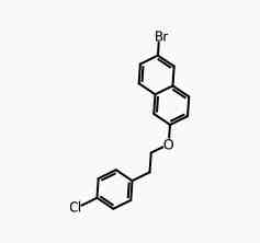 Clc1ccc(CCOc2ccc3cc(Br)ccc3c2)cc1